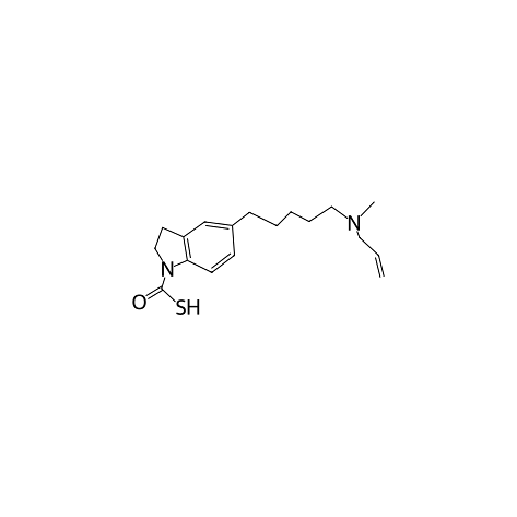 C=CCN(C)CCCCCc1ccc2c(c1)CCN2C(=O)S